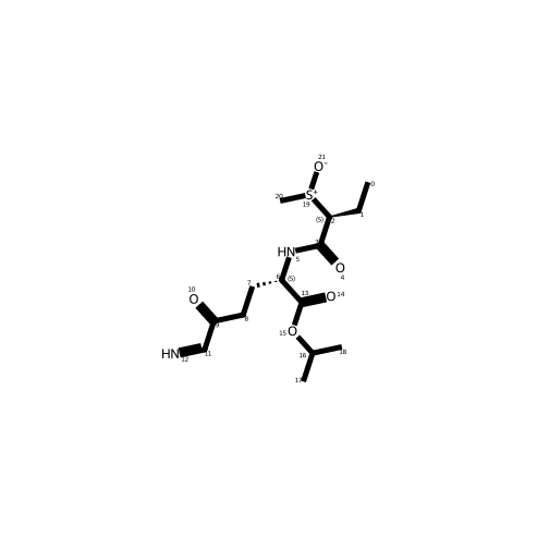 CC[C@@H](C(=O)N[C@@H](CCC(=O)C=N)C(=O)OC(C)C)[S+](C)[O-]